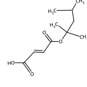 CC(C)CC(C)(C)OC(=O)C=CC(=O)O